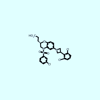 O=C(O)CC[C@@H]1CN(S(=O)(=O)c2cccc(Cl)c2)c2cc(N3CC(c4c(Cl)cccc4Cl)C3)ccc2O1